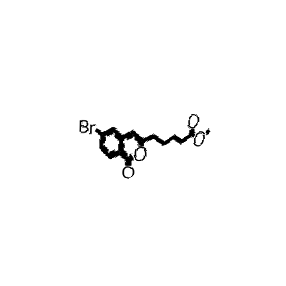 COC(=O)CCCCc1cc2cc(Br)ccc2c(=O)o1